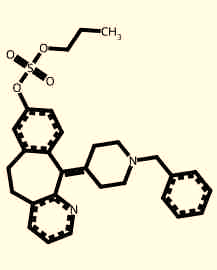 CCCOS(=O)(=O)Oc1ccc2c(c1)CCc1cccnc1C2=C1CCN(Cc2ccccc2)CC1